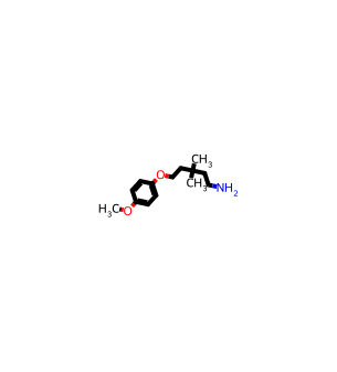 COc1ccc(OCCC(C)(C)CCN)cc1